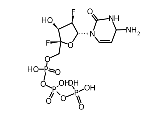 NC1C=CN([C@@H]2O[C@](F)(COP(=O)(O)OP(=O)(O)OP(=O)(O)O)[C@@H](O)[C@H]2F)C(=O)N1